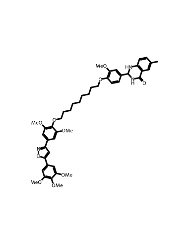 COc1cc(C2NC(=O)c3cc(C)ccc3N2)ccc1OCCCCCCCCCOc1c(OC)cc(-c2cc(-c3cc(OC)c(OC)c(OC)c3)on2)cc1OC